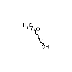 CCOC(=O)CCCOCCO